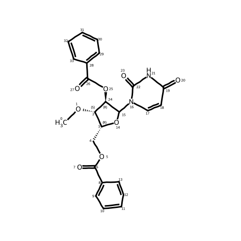 CO[C@H]1[C@@H](COC(=O)c2ccccc2)OC(n2ccc(=O)[nH]c2=O)[C@@H]1OC(=O)c1ccccc1